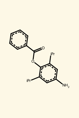 CC(C)c1cc(N)cc(C(C)C)c1OC(=O)c1ccccc1